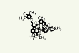 Cc1cc(N2CC(C)n3c(c(CCCOc4cc(C)c(Cl)c(C)c4)c4ccc(Cl)c(-c5c(C)nn(C)c5C)c43)C2=O)c2c(c1)cc(C(=O)O)n2Cc1cccc(N2CCN(C)CC2)n1